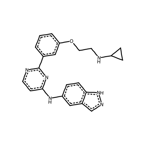 c1cc(OCCNC2CC2)cc(-c2nccc(Nc3ccc4[nH]ncc4c3)n2)c1